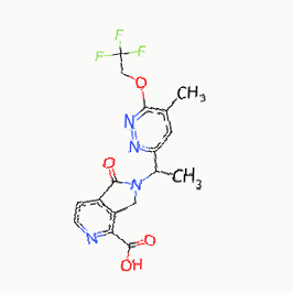 Cc1cc(C(C)N2Cc3c(ccnc3C(=O)O)C2=O)nnc1OCC(F)(F)F